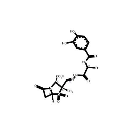 CC(C)[C@H](NC(=O)c1ccc(O)c(O)c1)C(=O)N/N=C/[C@@]1(C)[C@H](C(=O)O)N2C(=O)C[C@H]2S1(=O)=O